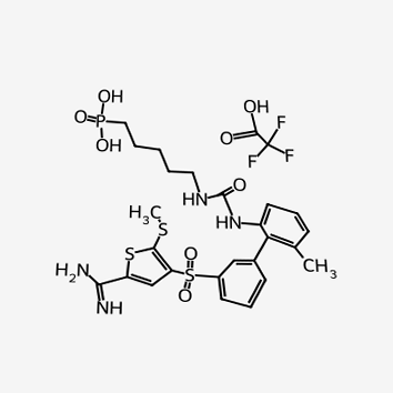 CSc1sc(C(=N)N)cc1S(=O)(=O)c1cccc(-c2c(C)cccc2NC(=O)NCCCCCP(=O)(O)O)c1.O=C(O)C(F)(F)F